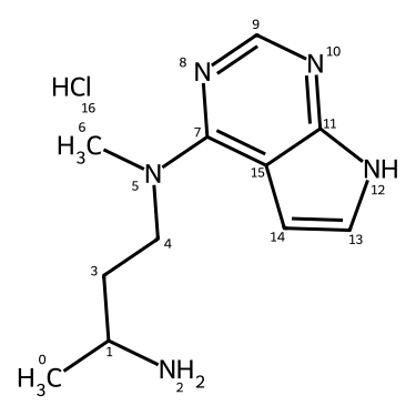 CC(N)CCN(C)c1ncnc2[nH]ccc12.Cl